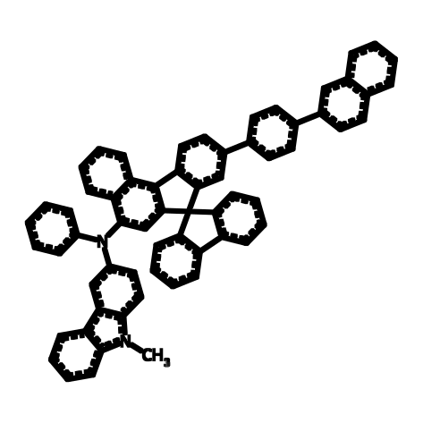 Cn1c2ccccc2c2cc(N(c3ccccc3)c3cc4c(c5ccccc35)-c3ccc(-c5ccc(-c6ccc7ccccc7c6)cc5)cc3C43c4ccccc4-c4ccccc43)ccc21